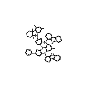 Cc1cc2c3c(c1)N(c1cccc4c1sc1ccccc14)c1cc(N4c5cc(C)cc(C)c5C5(C)CCCCC45C)ccc1B3c1cc(-c3ccccc3)ccc1N2c1cccc2c1oc1ccccc12